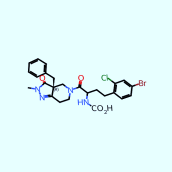 CN1N=C2CCN(C(=O)C(CCc3ccc(Br)cc3Cl)NC(=O)O)C[C@@]2(Cc2ccccc2)C1=O